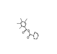 Cc1cc(C(=O)OC(=O)c2ccccc2)c(C)c(C)c1C